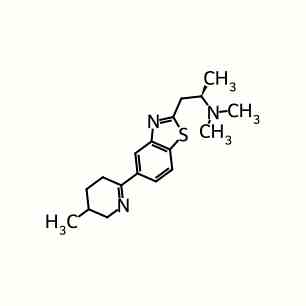 CC1CCC(c2ccc3sc(C[C@@H](C)N(C)C)nc3c2)=NC1